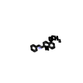 COc1cccc2nc(/C=C/c3ccccc3)ccc12